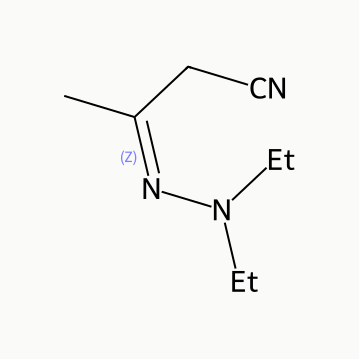 CCN(CC)/N=C(/C)CC#N